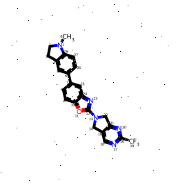 CN1CCc2cc(-c3ccc4oc(N5Cc6cnc(C(F)(F)F)nc6C5)nc4c3)ccc21